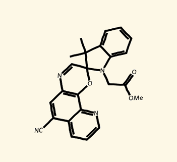 COC(=O)CN1c2ccccc2C(C)(C)C12C=Nc1cc(C#N)c3cccnc3c1O2